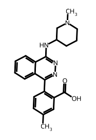 Cc1ccc(-c2nnc(NC3CCCN(C)C3)c3ccccc23)c(C(=O)O)c1